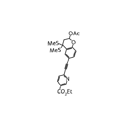 CCOC(=O)c1ccc(C#Cc2ccc3c(c2)C(SC)(SC)CC(OC(C)=O)O3)nc1